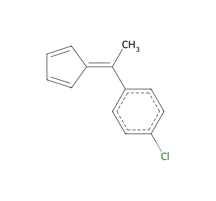 CC(=C1C=CC=C1)c1ccc(Cl)cc1